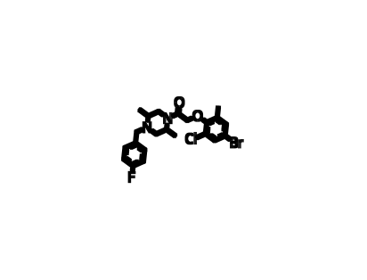 Cc1cc(Br)cc(Cl)c1OCC(=O)N1CC(C)N(Cc2ccc(F)cc2)CC1C